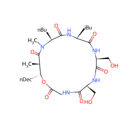 CCCCCCCCCC[C@H]1OC(=O)CNC(=O)[C@H](CO)NC(=O)[C@H](CO)NC(=O)[C@H](C(C)CC)NC(=O)[C@H](CCCC)N(C)C(=O)[C@@H]1C